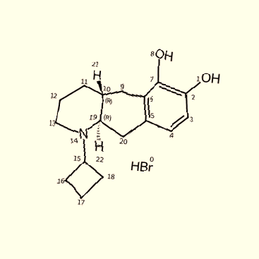 Br.Oc1ccc2c(c1O)C[C@H]1CCCN(C3CCC3)[C@@H]1C2